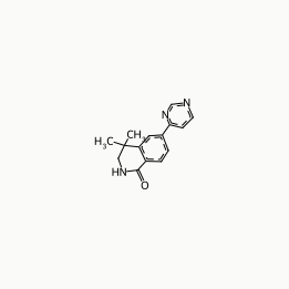 CC1(C)CNC(=O)c2ccc(-c3ccncn3)cc21